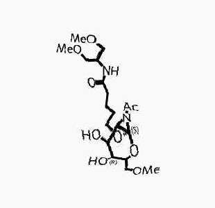 COCC(COC)NC(=O)CCCCO[C@]12OC(COC)[C@H](O)C(O)C1N2C(C)=O